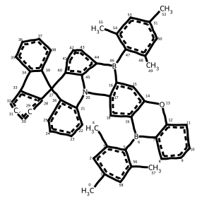 Cc1cc(C)c(B2c3ccccc3Oc3cc4c(cc32)N2c3ccccc3C3(c5ccccc5-c5ccccc53)c3cccc(c32)B4c2c(C)cc(C)cc2C)c(C)c1